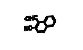 N#Cc1ccc2ccccc2c1[C]=O